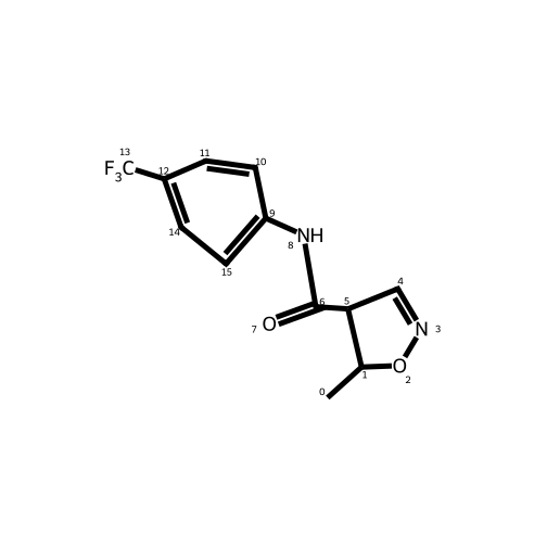 CC1ON=CC1C(=O)Nc1ccc(C(F)(F)F)cc1